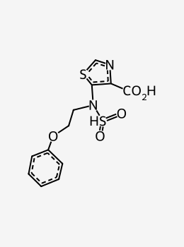 O=C(O)c1ncsc1N(CCOc1ccccc1)[SH](=O)=O